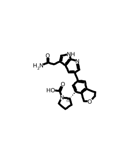 NC(=O)Cc1c[nH]c2ncc(-c3cc4c(c([C@@H]5CCCN5C(=O)O)c3)COCC4)cc12